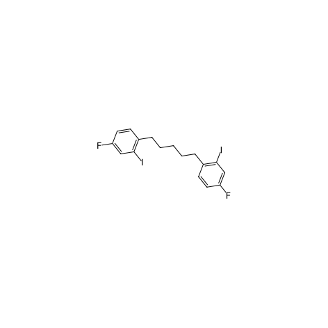 Fc1ccc(CCCCCc2ccc(F)cc2I)c(I)c1